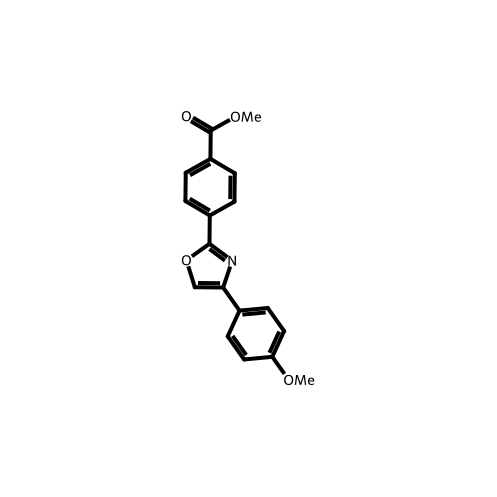 COC(=O)c1ccc(-c2nc(-c3ccc(OC)cc3)co2)cc1